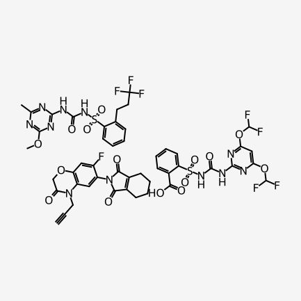 C#CCN1C(=O)COc2cc(F)c(N3C(=O)C4=C(CCCC4)C3=O)cc21.COc1nc(C)nc(NC(=O)NS(=O)(=O)c2ccccc2CCC(F)(F)F)n1.O=C(Nc1nc(OC(F)F)cc(OC(F)F)n1)NS(=O)(=O)c1ccccc1C(=O)O